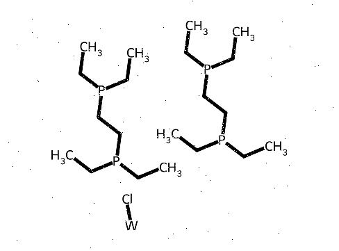 CCP(CC)CCP(CC)CC.CCP(CC)CCP(CC)CC.[Cl][W]